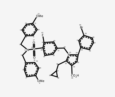 COc1ccc(CN(Cc2ccc(OC)cc2)S(=O)(=O)c2ccc(Cn3c(-c4cccc(Br)c4)cc(C(=O)O)c3CC3CC3)cc2F)cc1